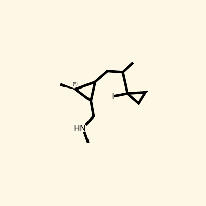 CNCC1C(CC(C)C2(I)CC2)[C@@H]1C